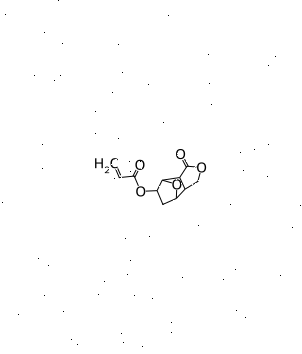 C=CC(=O)OC1CC2OC1C1C(=O)OCC21